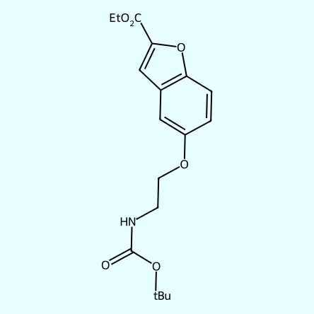 CCOC(=O)c1cc2cc(OCCNC(=O)OC(C)(C)C)ccc2o1